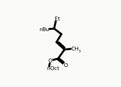 CCCCCCCCOC(=O)C(C)=CCC(CC)CCCC